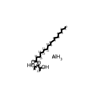 CCCCCCCCCCCCCCCCCC(=O)ON(C(C)O)C(C)O.[AlH3]